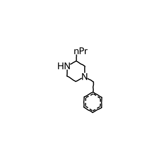 CCCC1CN(Cc2ccccc2)CCN1